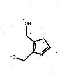 OCc1nc[nH]c1CO